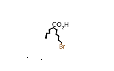 C=CC=CC(CCCCCBr)C(=O)O